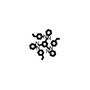 C=Cc1ccc(-n2c(-c3cc(-c4nc5ccccc5n4-c4ccc(C=C)cc4)cc(-c4nc5ccccc5n4-c4ccc(C=C)cc4)c3)nc3ccccc32)cc1